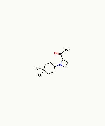 COC(=O)C1CCN1C1CCC(C)(C)CC1